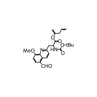 C=CCC(=C)OC(=O)C(Cc1ccc2c(C=O)ccc(OC)c2n1)NC(=O)OC(C)(C)C